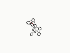 c1ccc(-c2nc(-c3ccccc3)nc(-n3c4ccccc4c4cccc(-c5ccc6c(c5)c5cccc7c8ccccc8n6c75)c43)n2)cc1